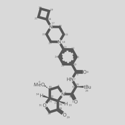 CO[C@@H]1CN(C(=O)[C@@H](NC(=O)c2ccc(N3CCN(C4CCC4)CC3)cc2)C(C)(C)C)[C@@H]2C(=O)CO[C@@H]21